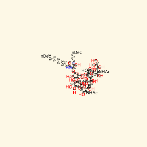 CCCCCCCCCCCCC/C=C/[C@@H](O)[C@H](CO[C@@H]1OC(CO)[C@@H](O[C@@H]2OC(CO)[C@H](O)[C@H](O[C@]3(C(=O)O)CC(O)[C@@H](NC(C)=O)C([C@H](O)[C@@H](CO)O[C@]4(C(=O)O)CC(O)[C@@H](NC(C)=O)C([C@H](O)[C@@H](CO)O[C@]5(C(=O)O)CC(O)[C@@H](NC(C)=O)C([C@H](O)[C@H](O)CO)O5)O4)O3)C2O)[C@H](O)C1O)NC(=O)CCCCCCCCCCCCCCCCCCC